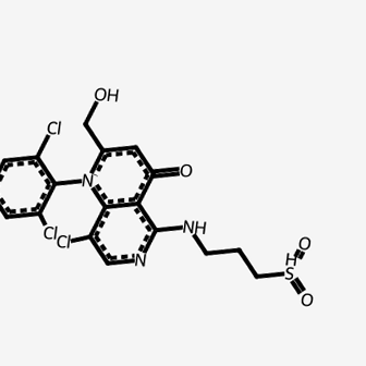 O=c1cc(CO)n(-c2c(Cl)cccc2Cl)c2c(Cl)cnc(NCCC[SH](=O)=O)c12